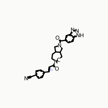 N#Cc1ccc(/C=C/C(=O)N2CCC3CN(C(=O)c4ccc5[nH]nnc5c4)CC3CC2)cc1